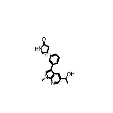 CC(O)c1cnc2c(c1)c(-c1cccc([C@@H]3CNC(=O)C3)c1)cn2C